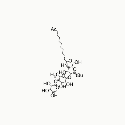 CC(=O)CCCCCCCCCCC(=O)N[C@H]1C(CO)O[C@@H](C(C)(C)C)C(O[C@@H]2OC(C)[C@H](O[C@@H]3OC[C@@H](O)C(O)C3O)C(O)C2O)C1O